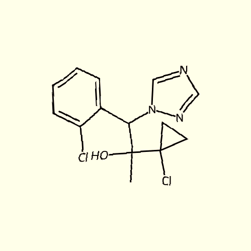 CC(O)(C(c1ccccc1Cl)n1cncn1)C1(Cl)CC1